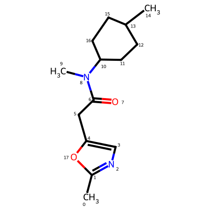 Cc1ncc(CC(=O)N(C)C2CCC(C)CC2)o1